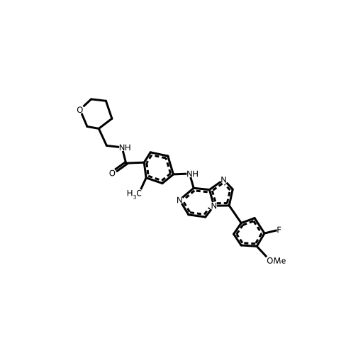 COc1ccc(-c2cnc3c(Nc4ccc(C(=O)NCC5CCCOC5)c(C)c4)nccn23)cc1F